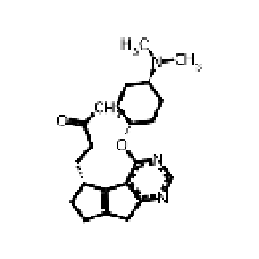 CC(=O)CC[C@H]1CCC2=C1c1c(ncnc1O[C@H]1CC[C@H](N(C)C)CC1)C2